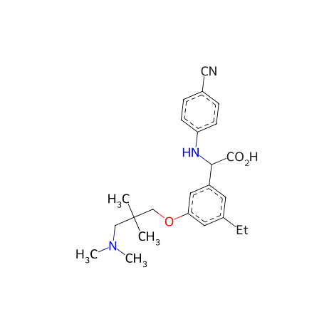 CCc1cc(OCC(C)(C)CN(C)C)cc(C(Nc2ccc(C#N)cc2)C(=O)O)c1